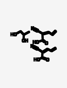 C=CC=C(C#N)C(=O)O.C=CC=C(C#N)C(=O)O.CC(O)CO